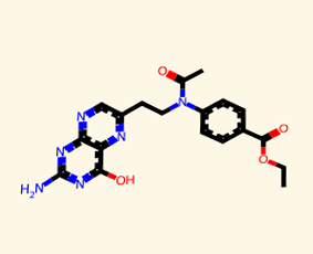 CCOC(=O)c1ccc(N(CCc2cnc3nc(N)nc(O)c3n2)C(C)=O)cc1